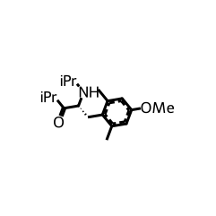 COc1cc(C)c(C[C@@H](NC(C)C)C(=O)C(C)C)c(C)c1